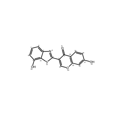 O=c1c(-c2nc3cccc(O)c3s2)coc2cc(O)ccc12